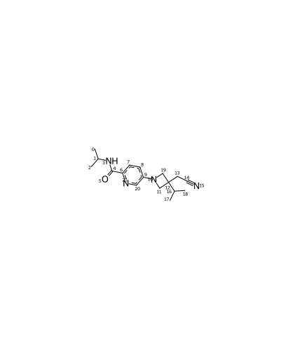 CC(C)NC(=O)c1ccc(N2CC(CC#N)(C(C)C)C2)cn1